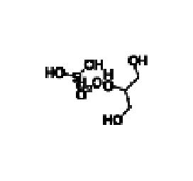 O.O=[Si](O)O.OCC(O)CO